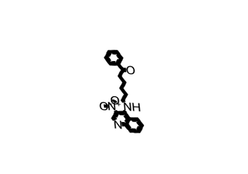 O=C(CCCCCNc1c([N+](=O)[O-])cnc2ccccc12)c1ccccc1